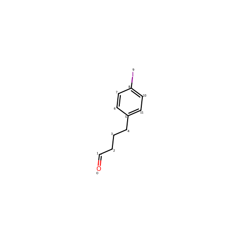 O=[C]CCCc1ccc(I)cc1